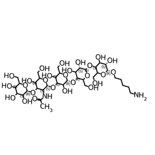 CC(=O)N[C@H]1C(O[C@@H]2OC(CO)[C@H](O)C(O)[C@@H]2O)[C@@H](O)C(CO)O[C@H]1O[C@@H]1C(O)[C@@H](O[C@H]2C(CO)O[C@@H](O[C@@H]3C(CO)O[C@@H](OCCCCCN)[C@@H](O)C3O)[C@@H](O)C2O)OC(CO)[C@@H]1O